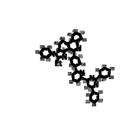 CCc1nc2c3c(-c4ccc(-c5cccc(-c6cc(-c7ccccc7)nc(-c7ccccc7)n6)n5)cc4)nc4ccccc4c3ccc2n1-c1ccccc1